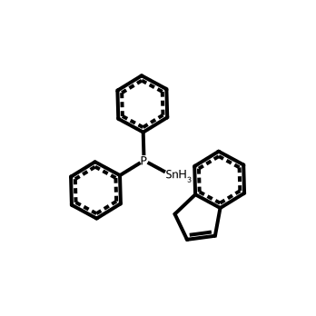 C1=Cc2ccccc2C1.[SnH3][P](c1ccccc1)c1ccccc1